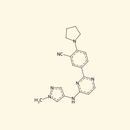 Cn1cc(Nc2ccnc(-c3ccc(N4CCCC4)c(C#N)c3)n2)cn1